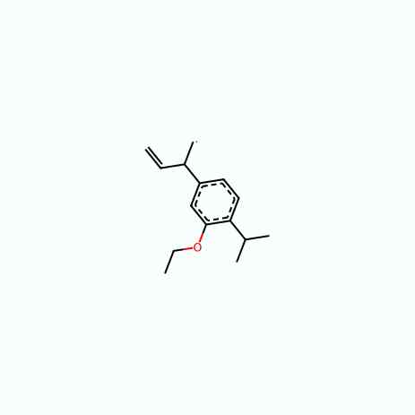 [CH2]C(C=C)c1ccc(C(C)C)c(OCC)c1